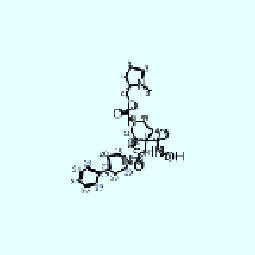 CN1CCCC1COC(=O)N1CCC(CS(=O)(=O)N2CC=C(c3ccccc3)CC2)(C(=O)NO)CC1